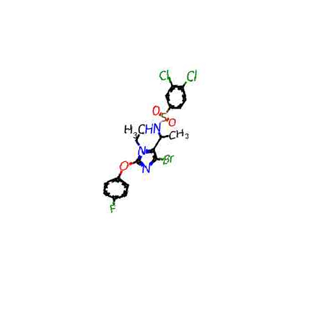 CCn1c(Oc2ccc(F)cc2)nc(Br)c1C(C)NS(=O)(=O)c1ccc(Cl)c(Cl)c1